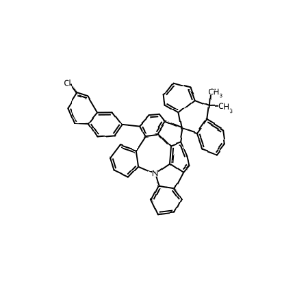 CC1(C)c2ccccc2C2(c3ccccc31)c1ccc(-c3ccc4ccc(Cl)cc4c3)c3c1-c1c2ccc2c4ccccc4n(c12)-c1ccccc1-3